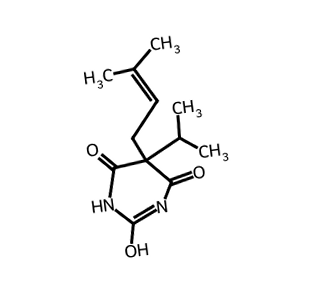 CC(C)=CCC1(C(C)C)C(=O)N=C(O)NC1=O